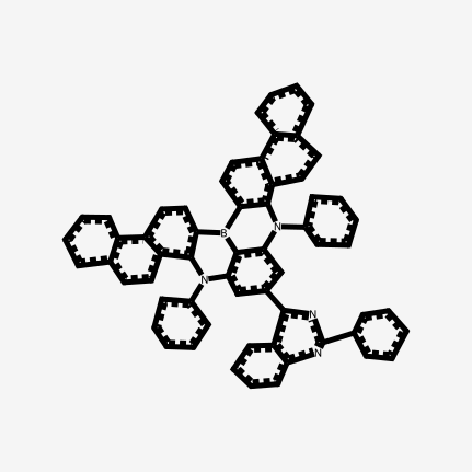 c1ccc(-c2nc(-c3cc4c5c(c3)N(c3ccccc3)c3c(ccc6c3ccc3ccccc36)B5c3ccc5c(ccc6ccccc65)c3N4c3ccccc3)c3ccccc3n2)cc1